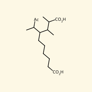 CC(=O)C(C)C(CCCCCC(=O)O)C(C)C(C)C(=O)O